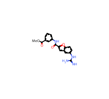 COC(=O)c1cccc(NC(=O)c2cc3cc(NC(=N)N)ccc3o2)c1